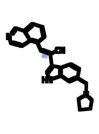 N#C/C(=C\c1cccc2cnccc12)c1c[nH]c2cc(CN3CCCC3)ccc12